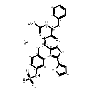 COC(=O)N[C@@H](Cc1ccccc1)C(=O)N[C@@H](Cc1ccc(NS(=O)(=O)[O-])cc1)c1csc(-c2cccs2)n1.[Na+]